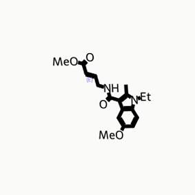 CCn1c(C)c(C(=O)NC/C=C/C(=O)OC)c2cc(OC)ccc21